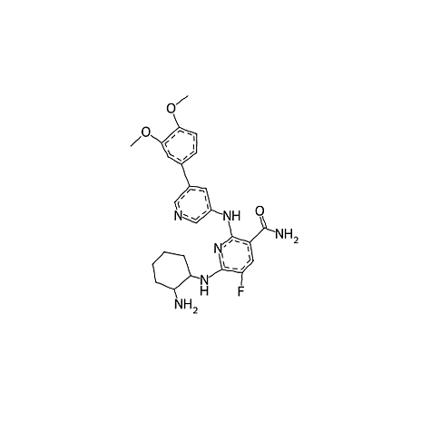 COc1ccc(-c2cncc(Nc3nc(NC4CCCCC4N)c(F)cc3C(N)=O)c2)cc1OC